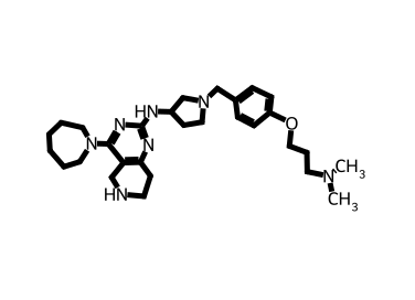 CN(C)CCCOc1ccc(CN2CCC(Nc3nc4c(c(N5CCCCCC5)n3)CNCC4)C2)cc1